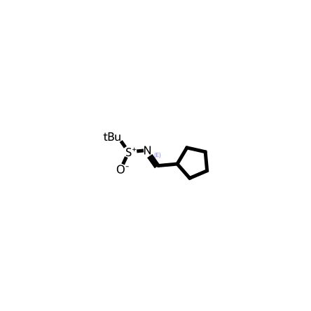 CC(C)(C)[S+]([O-])/N=C/C1CCCC1